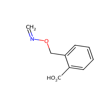 C=NOCc1ccccc1C(=O)O